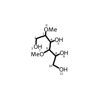 COC(CO)C(O)C(OC)C(O)CO